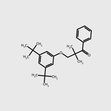 CC(C)(COc1cc(C(C)(C)C)cc(C(C)(C)C)c1)C(=O)c1ccccc1